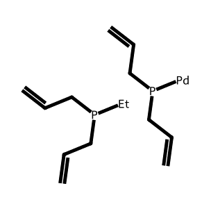 C=CCP(CC)CC=C.C=CC[P]([Pd])CC=C